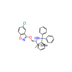 CSC(C)[C@@H](COc1noc2ccc(Cl)cc12)NC(c1ccccc1)(c1ccccc1)c1ccccc1